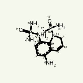 Nc1ccc(NP(N)(N)=O)c2c1C=CCN2P(N)(N)=O